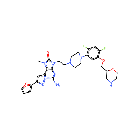 Cn1c(=O)n(CCN2CCN(c3cc(OCC4CNCCO4)c(F)cc3F)CC2)c2nc(N)n3nc(-c4ccco4)cc3c21